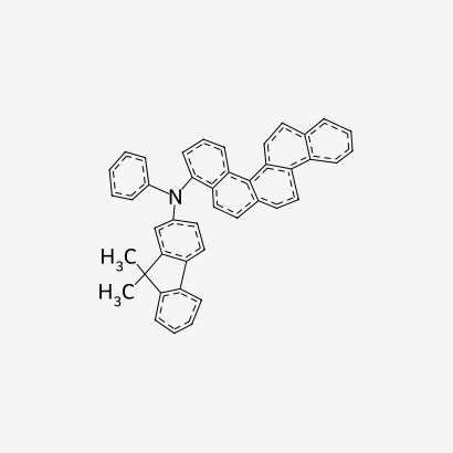 CC1(C)c2ccccc2-c2ccc(N(c3ccccc3)c3cccc4c3ccc3ccc5c6ccccc6ccc5c34)cc21